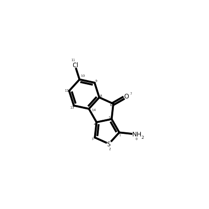 Nc1scc2c1C(=O)c1cc(Cl)ccc1-2